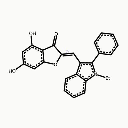 CCn1c(-c2ccccc2)c(/C=C2\Oc3cc(O)cc(O)c3C2=O)c2ccccc21